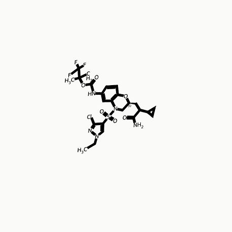 CCn1cc(S(=O)(=O)N2C[C@H](CC(C(N)=O)C3CC3)Oc3ccc(NC(=O)OC(C)(C)C(F)(F)F)cc32)c(Cl)n1